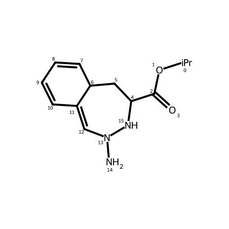 CC(C)OC(=O)C1CC2C=CC=CC2=CN(N)N1